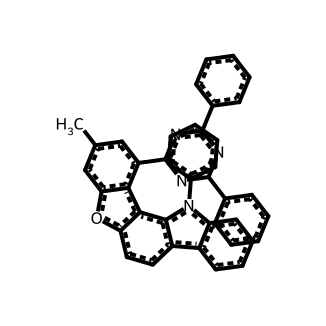 Cc1cc(-c2nc(-c3ccccc3)nc(-c3ccccc3)n2)c2c(c1)oc1ccc3c4ccccc4n(-c4ccccc4)c3c12